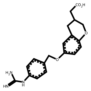 N=C(N)Nc1ccc(COc2ccc3c(c2)CC(CC(=O)O)CO3)cc1